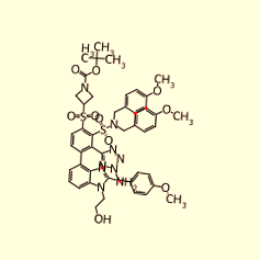 COc1ccc(CN(Cc2ccc(OC)cc2)S(=O)(=O)c2c(S(=O)(=O)C3CN(C(=O)OC(C)(C)C)C3)ccc(-c3cccc4c3nc(N)n4CCO)c2-c2nnn(Cc3ccc(OC)cc3)n2)cc1